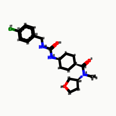 CN(C(=O)[C@H]1CC[C@H](NC(=O)NCc2ccc(Cl)cc2)CC1)[C@@H]1CCOC1